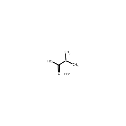 Br.CN(C)C(=O)O